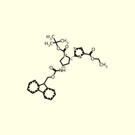 CCOC(=O)c1csc([C@@H]2C[C@H](NC(=O)OCC3c4ccccc4-c4ccccc43)CN2C(=O)OC(C)(C)C)n1